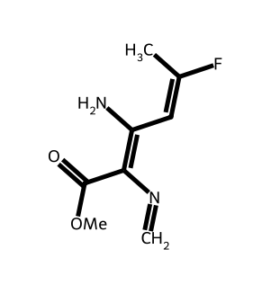 C=N/C(C(=O)OC)=C(N)\C=C(/C)F